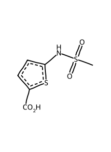 CS(=O)(=O)Nc1ccc(C(=O)O)s1